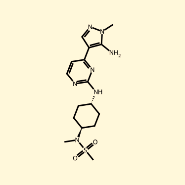 Cn1ncc(-c2ccnc(N[C@H]3CC[C@H](N(C)S(C)(=O)=O)CC3)n2)c1N